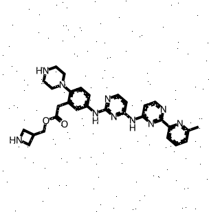 Cc1cccc(-c2nccc(Nc3ccnc(Nc4ccc(N5CCNCC5)c(CC(=O)OCC5CNC5)c4)n3)n2)n1